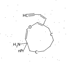 C#C/C=C\C1=C\O/C=C\C(N)(CCC)CCCCCCC1